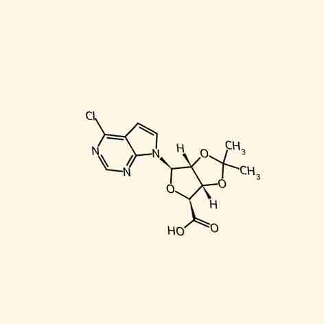 CC1(C)O[C@@H]2[C@H](O1)[C@@H](C(=O)O)O[C@H]2n1ccc2c(Cl)ncnc21